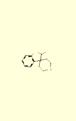 CC1Oc2ccccc2C12CCNCC2